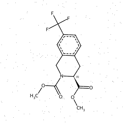 COC(=O)[C@@H]1Cc2ccc(C(F)(F)F)cc2CN1C(=O)OC